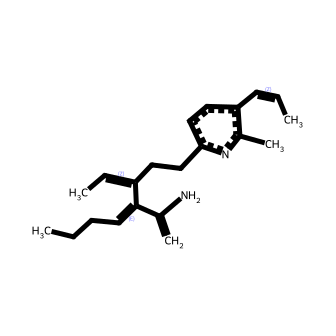 C=C(N)C(=C/CCC)/C(=C\C)CCc1ccc(/C=C\C)c(C)n1